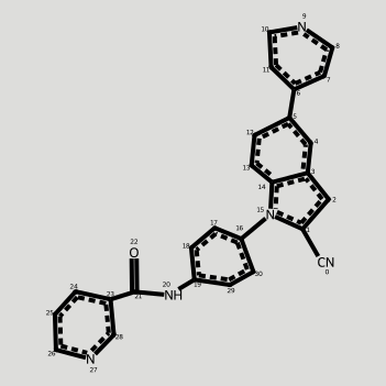 N#Cc1cc2cc(-c3ccncc3)ccc2n1-c1ccc(NC(=O)c2cccnc2)cc1